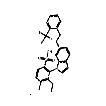 CCc1c(C)ccc(S(=O)(=O)O)c1-n1ccc2ccc(CCc3ccccc3C(F)(F)F)cc21